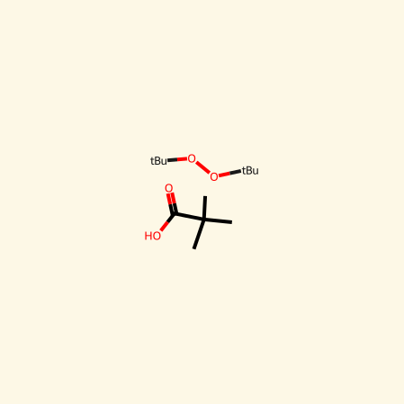 CC(C)(C)C(=O)O.CC(C)(C)OOC(C)(C)C